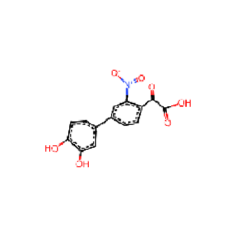 O=C(O)C(=O)c1ccc(-c2ccc(O)c(O)c2)cc1[N+](=O)[O-]